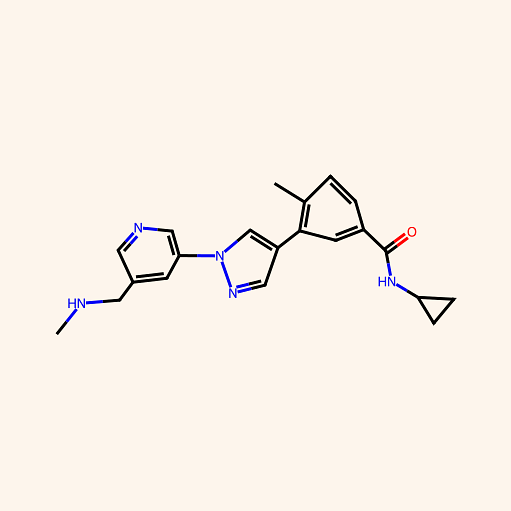 CNCc1cncc(-n2cc(-c3cc(C(=O)NC4CC4)ccc3C)cn2)c1